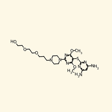 COc1nc(N2CCN(CCCOCCOCCO)CC2)nc(OC)c1Sc1nc(N)cc(N)n1